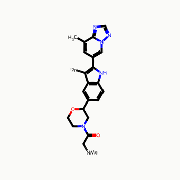 CNCC(=O)N1CCOC(c2ccc3[nH]c(-c4cc(C)c5ncnn5c4)c(C(C)C)c3c2)C1